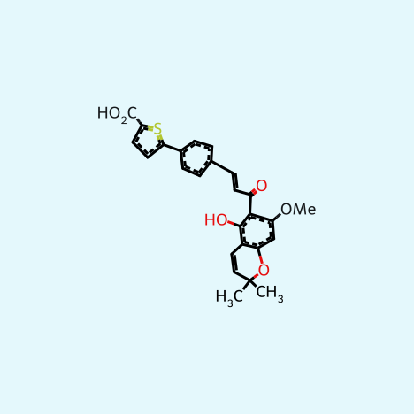 COc1cc2c(c(O)c1C(=O)/C=C/c1ccc(-c3ccc(C(=O)O)s3)cc1)C=CC(C)(C)O2